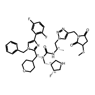 CSC1CC(=O)N(Cc2cn(C[C@H](C)NC(=O)N(C[C@@H]3CNC[C@@H]3F)[C@@H](c3nc(-c4cc(F)ccc4F)cn3Cc3ccccc3)C3CCOCC3)nn2)C1=O